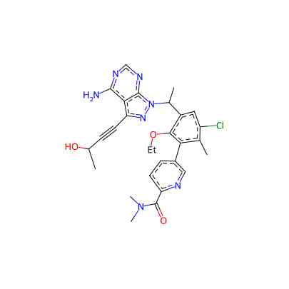 CCOc1c(C(C)n2nc(C#CC(C)O)c3c(N)ncnc32)cc(Cl)c(C)c1-c1ccc(C(=O)N(C)C)nc1